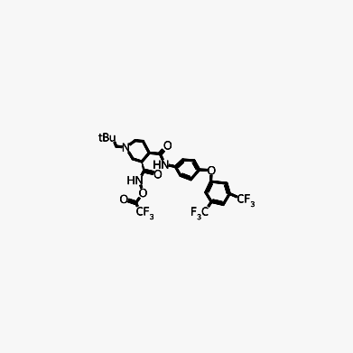 CC(C)(C)CN1CCC(C(=O)Nc2ccc(Oc3cc(C(F)(F)F)cc(C(F)(F)F)c3)cc2)[C@@H](C(=O)NOC(=O)C(F)(F)F)C1